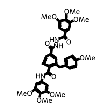 COc1ccc(Cc2cc(C(=O)NNC(=O)c3cc(OC)c(OC)c(OC)c3)ccc2C(=O)Nc2cc(OC)c(OC)c(OC)c2)cc1